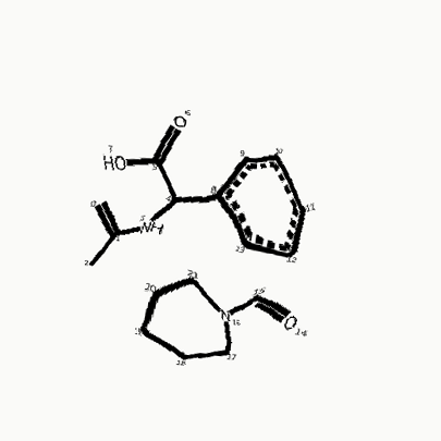 C=C(C)NC(C(=O)O)c1ccccc1.O=CN1CCCCC1